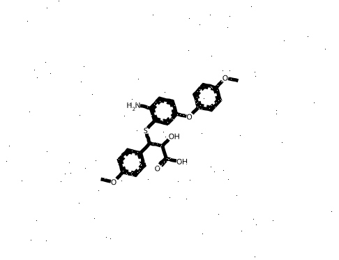 COc1ccc(Oc2ccc(N)c(SC(c3ccc(OC)cc3)C(O)C(=O)O)c2)cc1